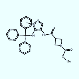 Cn1ncc(NC(=O)C2CN(C(=O)OC(C)(C)C)C2)c1NC(c1ccccc1)(c1ccccc1)c1ccccc1